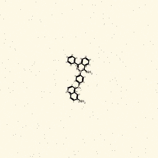 Nc1ccc2nccc(Sc3ccc(N4N=C(c5ccccc5)c5ccccc5C4N)cc3)c2c1